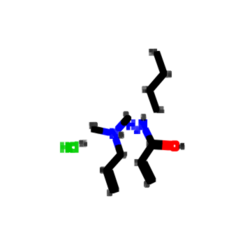 C=CC(N)=O.C=CCN(C)C.CCCC.Cl